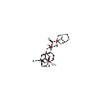 O=C(NCC1C2CCC1CN(C(=O)OCc1cc(C(F)(F)F)cc(C(F)(F)F)c1)C2)c1ccc2[nH]nnc2c1